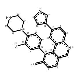 O=c1ccc2cnc3ccc(-c4ccsc4)cc3c2n1-c1ccc(N2CCNCC2)c(C(F)(F)F)c1